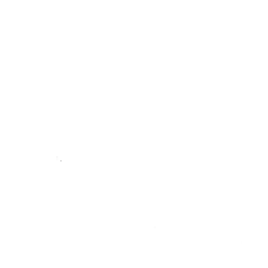 N#CC=CS(=O)(=O)c1ccc(NS(=O)(=O)c2ccc(Cl)cc2)cc1